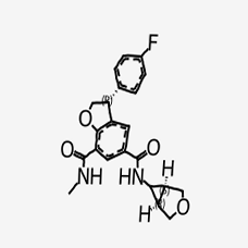 CNC(=O)c1cc(C(=O)NC2[C@H]3COC[C@@H]23)cc2c1OC[C@@H]2c1ccc(F)cc1